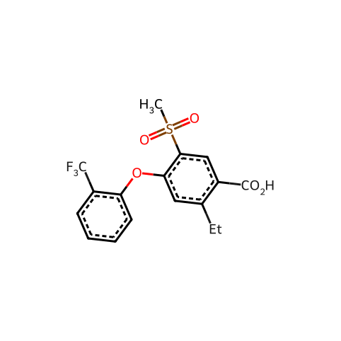 CCc1cc(Oc2ccccc2C(F)(F)F)c(S(C)(=O)=O)cc1C(=O)O